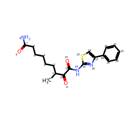 CC(CCCCCC(N)=O)C(=O)C(=O)Nc1nc(-c2ccccc2)cs1